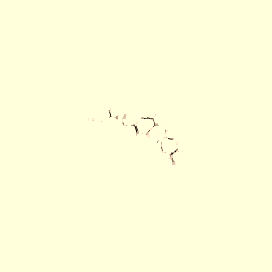 CC(C)(C)OC(=O)NCc1ccc(Oc2ncc(F)cn2)cc1